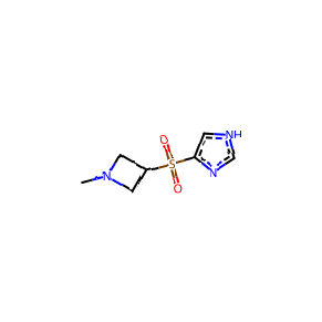 CN1CC(S(=O)(=O)c2c[nH]cn2)C1